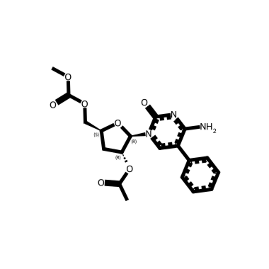 COC(=O)OC[C@@H]1C[C@@H](OC(C)=O)[C@H](n2cc(-c3ccccc3)c(N)nc2=O)O1